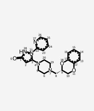 O=c1cc(N2CCN(C[C@H]3COc4ccccc4O3)CC2)n(-c2ccccn2)[nH]1